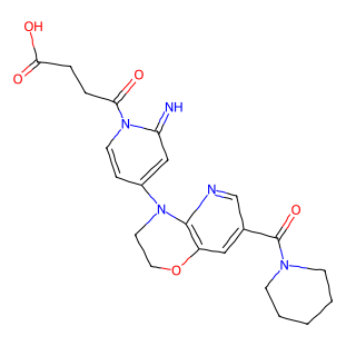 N=c1cc(N2CCOc3cc(C(=O)N4CCCCC4)cnc32)ccn1C(=O)CCC(=O)O